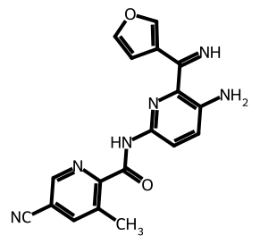 Cc1cc(C#N)cnc1C(=O)Nc1ccc(N)c(C(=N)c2ccoc2)n1